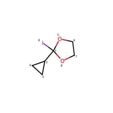 IC1(C2CC2)OCCO1